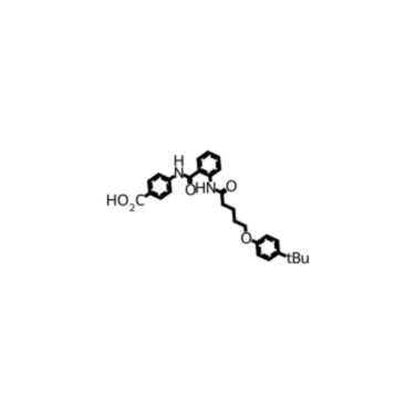 CC(C)(C)c1ccc(OCCCCC(=O)Nc2ccccc2C(=O)Nc2ccc(C(=O)O)cc2)cc1